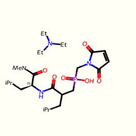 CCN(CC)CC.CNC(=O)[C@H](CC(C)C)NC(=O)C(CC(C)C)CP(=O)(O)CN1C(=O)C=CC1=O